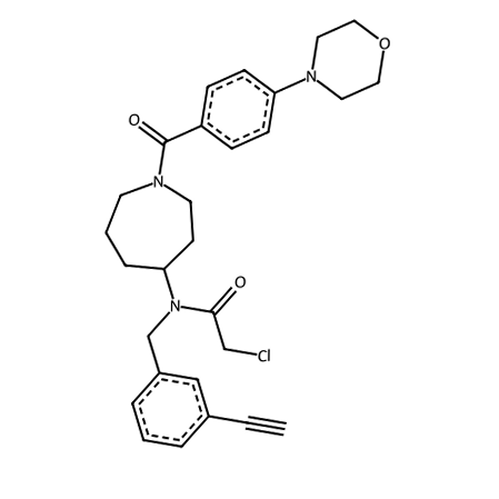 C#Cc1cccc(CN(C(=O)CCl)C2CCCN(C(=O)c3ccc(N4CCOCC4)cc3)CC2)c1